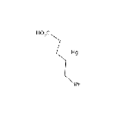 CC(C)CCCCC(=O)O.[Hg]